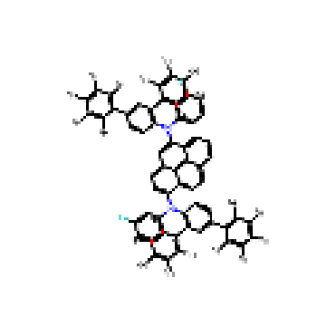 [2H]c1c([2H])c([2H])c(-c2ccc(N(c3cccc(F)c3)c3cc4ccc(N(c5cccc(F)c5)c5ccc(-c6c([2H])c([2H])c([2H])c([2H])c6[2H])cc5-c5c([2H])c([2H])c([2H])c([2H])c5[2H])c5ccc6cccc3c6c45)c(-c3c([2H])c([2H])c([2H])c([2H])c3[2H])c2)c([2H])c1[2H]